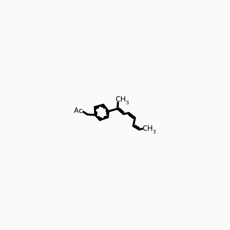 C\C=C/C=C\C=C(/C)c1ccc(CC(C)=O)cc1